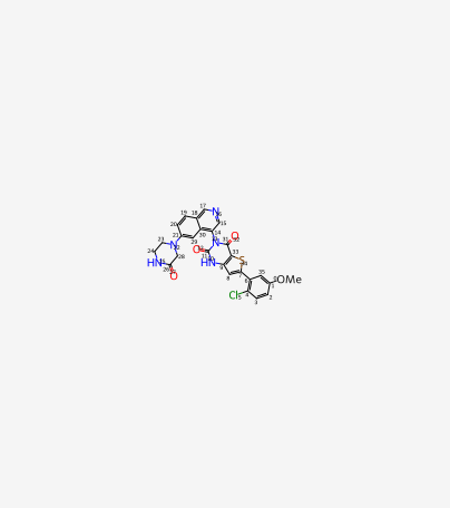 COc1ccc(Cl)c(-c2cc3[nH]c(=O)n(-c4cncc5ccc(N6CCNC(=O)C6)cc45)c(=O)c3s2)c1